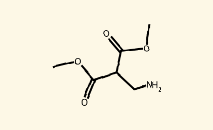 COC(=O)C(CN)C(=O)OC